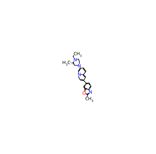 CCN1CCN(C2=CN3CC=C(c4ccc5nc(C)oc5c4)C=C3C=C2)C[C@@H]1C